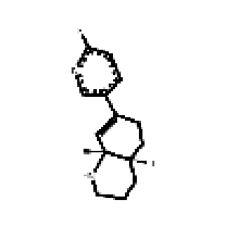 Fc1ccc(C2=C[C@H]3NCCC[C@H]3CC2)cn1